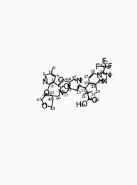 Cc1cnc2c(c1)S(=O)(=O)N(Cc1cc(C(c3ccn4c(C(F)(F)F)nnc4c3C)C(C)(C)C(=O)O)ncc1C)CC1(CCOCC1)O2